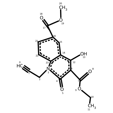 C#CCn1c(=O)c(C(=O)OCC)c(O)c2cc(C(=O)OC)ccc21